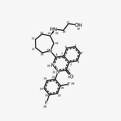 O=c1c2ccccc2c(N2CCCC[C@@H](NCCO)C2)nn1-c1ccc(F)cc1F